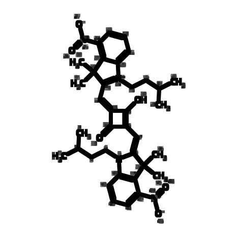 CC(C)CCN1/C(=C\C2=C(O)C(=C\C3=[N+](CCC(C)C)c4cccc([N+](=O)[O-])c4C3(C)C)/C2=O)C(C)(C)c2c1cccc2[N+](=O)[O-]